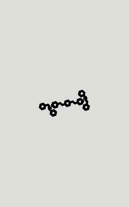 C1=CCCC(CN(Cc2ccccc2)c2ccc(CCc3ccc(CCc4ccc(N(Cc5ccccc5)Cc5ccccc5)cc4)cc3)cc2)=C1